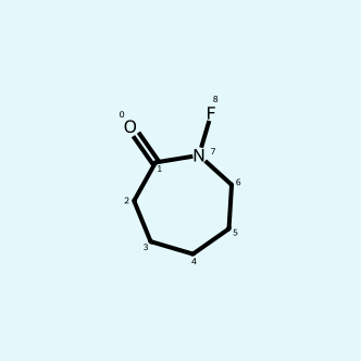 O=C1CCCCCN1F